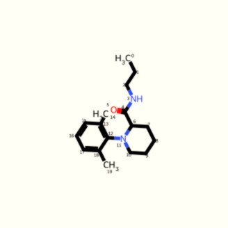 CCCNC(=O)C1CCCCN1c1c(C)cccc1C